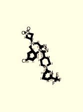 O=S1(=O)CC(N2Cc3cc(Cl)ccc3-n3c(nnc3C3CCN(c4cccc(C(F)(F)F)n4)CC3)C2)C1